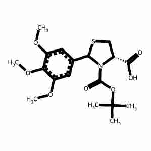 COc1cc(C2SC[C@H](C(=O)O)N2C(=O)OC(C)(C)C)cc(OC)c1OC